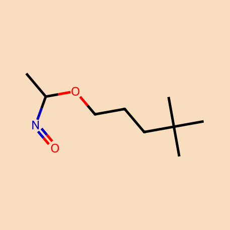 CC(N=O)OCCCC(C)(C)C